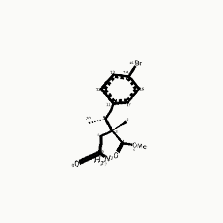 COC(=O)[C@](C)(CC(N)=O)[C@H](C)c1ccc(Br)cc1